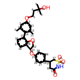 Cc1cc(OCCC(C)(C)O)cc(C)c1-c1cccc2c1OC[C@H]2Oc1ccc(C2CC(=O)NS(=O)(=O)C2)cc1